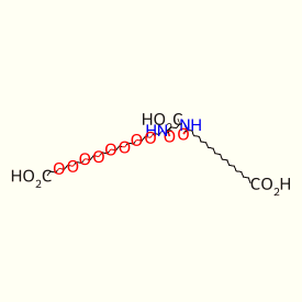 O=C(O)CCCCCCCCCCCCCCCCCCC(=O)N[C@@H](CCC(=O)NCCOCCOCCOCCOCCOCCOCCOCCOCCC(=O)O)C(=O)O